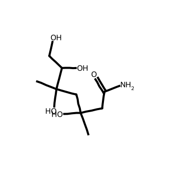 CC(O)(CC(N)=O)CC(C)(O)C(O)CO